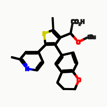 Cc1cc(-c2sc(C)c(C(OC(C)(C)C)C(=O)O)c2-c2ccc3c(c2)CCCO3)ccn1